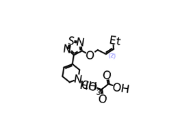 CC/C=C\COc1nsnc1C1=CCCN(C)C1.O=C(O)C(=O)O